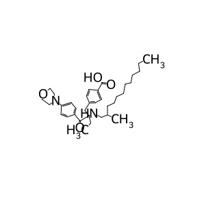 CCCCCCCCCCC(C)CNC(CC)(Cc1ccc(C(=O)O)cc1)C(=O)c1ccc(N2CCOCC2)cc1